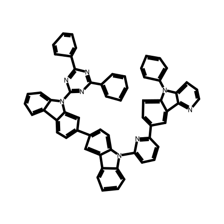 c1ccc(-c2nc(-c3ccccc3)nc(-n3c4ccccc4c4ccc(-c5ccc6c(c5)c5ccccc5n6-c5cccc(-c6ccc7c(c6)c6ncccc6n7-c6ccccc6)n5)cc43)n2)cc1